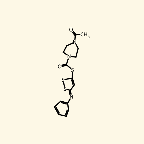 CC(=O)N1CCN(C(=O)Sc2cc(=Nc3ccccc3)ss2)CC1